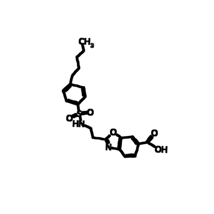 CCCCCc1ccc(S(=O)(=O)NCCc2nc3ccc(C(=O)O)cc3o2)cc1